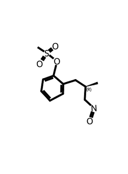 C[C@@H](CN=O)Cc1ccccc1OS(C)(=O)=O